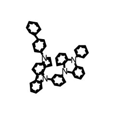 c1ccc(-c2ccc(-n3ccc4c3ccc3c5ccccc5n(-c5cccc(N6c7ccccc7N(c7ccccc7)c7ccccc76)c5)c34)cc2)cc1